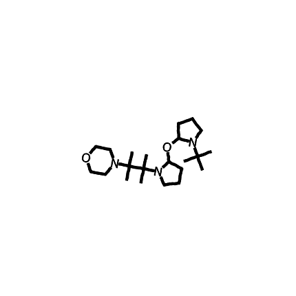 CC(C)(C)N1CCCC1OC1CCCN1C(C)(C)C(C)(C)N1CCOCC1